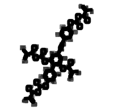 C=C(C)C(=O)OC(=O)Oc1ccc(C#Cc2cc(OC(=O)OC(=O)C(=C)C)c(-c3ccc(OC(=O)OC(=O)C(=C)C)cc3)c(OC(=O)C(=C)C)c2)cc1